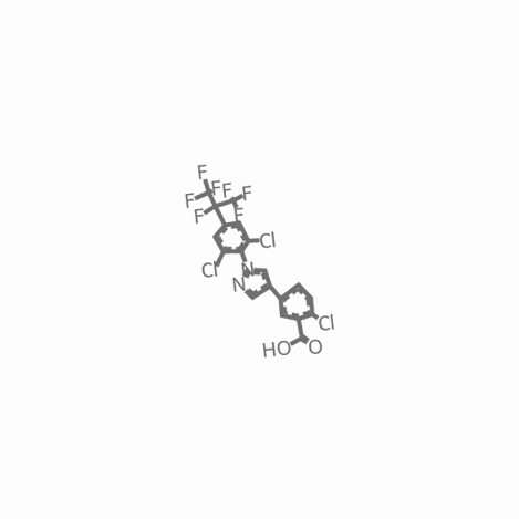 O=C(O)c1cc(-c2cnn(-c3c(Cl)cc(C(F)(C(F)(F)F)C(F)(F)F)cc3Cl)c2)ccc1Cl